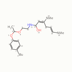 CCC(C)c1ccc(OC(C)OCCNC(O)/C=C(\C/C=C/NC)NC)cc1